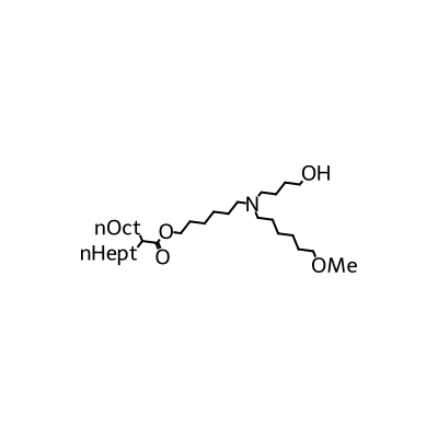 CCCCCCCCC(CCCCCCC)C(=O)OCCCCCCN(CCCCO)CCCCCCOC